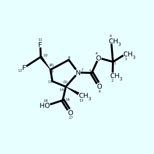 CC(C)(C)OC(=O)N1C[C@H](C(F)F)C[C@@]1(C)C(=O)O